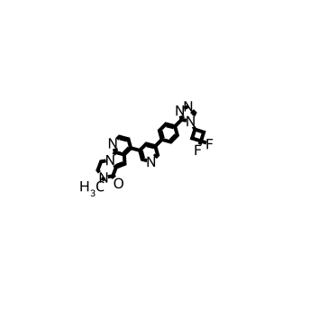 CN1CCn2c(cc3c(-c4cncc(-c5ccc(-c6nncn6C6CC(F)(F)C6)cc5)c4)ccnc32)C1=O